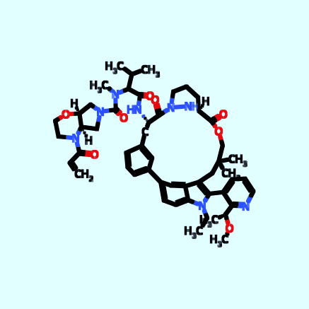 C=CC(=O)N1CCO[C@H]2CN(C(=O)N(C)C(C(=O)N[C@H]3Cc4cccc(c4)-c4ccc5c(c4)c(c(-c4cccnc4[C@H](C)OC)n5CC)CC(C)(C)COC(=O)[C@@H]4CCCN(N4)C3=O)C(C)C)C[C@H]21